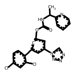 CC(NC(=O)Oc1cc(-c2ccc(Cl)cc2Cl)cc(-n2cnnn2)c1)c1ccccn1